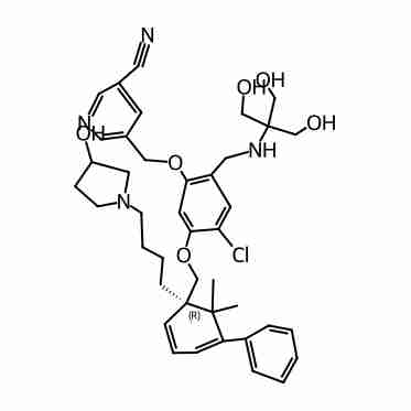 CC1(C)C(c2ccccc2)=CC=C[C@@]1(CCCCN1CCC(O)C1)COc1cc(OCc2cncc(C#N)c2)c(CNC(CO)(CO)CO)cc1Cl